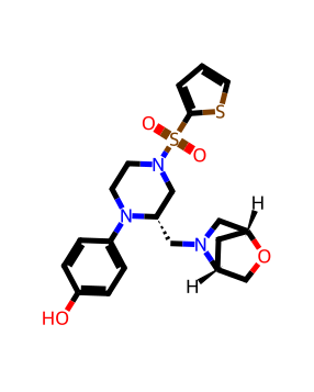 O=S(=O)(c1cccs1)N1CCN(c2ccc(O)cc2)[C@@H](CN2C[C@H]3C[C@@H]2CO3)C1